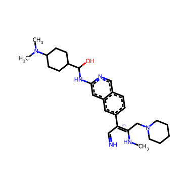 CN/C(CN1CCCCC1)=C(\C=N)c1ccc2cnc(NC(O)C3CCC(N(C)C)CC3)cc2c1